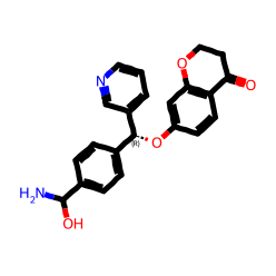 NC(O)c1ccc([C@@H](Oc2ccc3c(c2)OCCC3=O)c2cccnc2)cc1